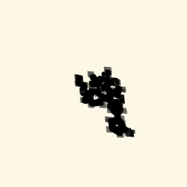 C=CCOC1(C)CCN(c2c(C(OC(C)(C)C)C(=O)OC)c(C)nc3cc(-c4cccc(Br)c4)nn23)CC1